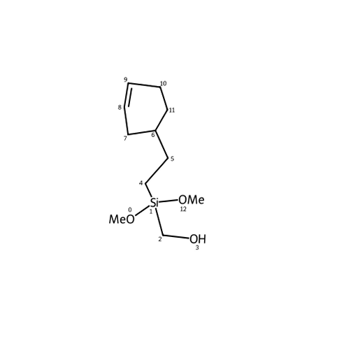 CO[Si](CO)(CCC1CC=CCC1)OC